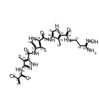 C=C(Cl)C(=O)Nc1n[nH]c(C(=O)Nc2c[nH]c(C(=O)Nc3c[nH]c(C(=O)NCCC(N)=NO)c3C)c2C)c1C